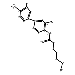 Cc1cc(-c2ccc(NC(=O)CCCCCBr)c(C)c2)ccc1N